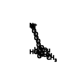 Cc1ncsc1-c1ccc(CNC(=O)[C@@H]2C[C@@H](O)CN2C(=O)C(NC(=O)CCOCCOCCOCCOCCOCCN=[N+]=[N-])C(C)(C)C)cc1